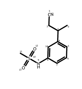 CC(CC#N)c1cccc(NS(C)(=O)=O)c1